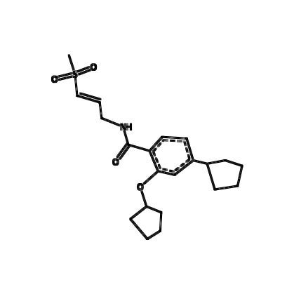 CS(=O)(=O)/C=C/CNC(=O)c1ccc(C2CCCC2)cc1OC1CCCC1